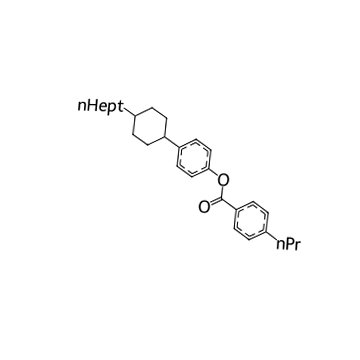 CCCCCCCC1CCC(c2ccc(OC(=O)c3ccc(CCC)cc3)cc2)CC1